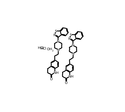 Cl.Cl.O.O=C1CCc2cc(CCN3CCN(c4nsc5ccccc45)CC3)ccc2N1.O=C1CCc2cc(CCN3CCN(c4nsc5ccccc45)CC3)ccc2N1